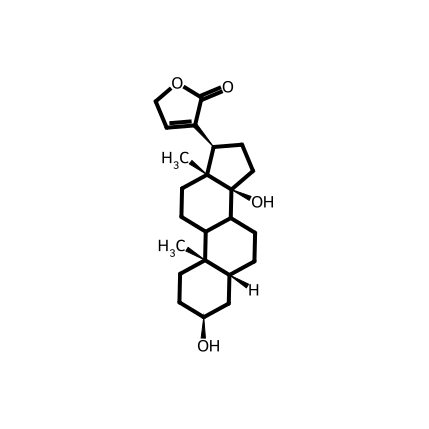 C[C@]12CC[C@H](O)C[C@H]1CCC1C2CC[C@]2(C)[C@@H](C3=CCOC3=O)CC[C@]12O